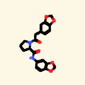 O=C(Nc1ccc2c(c1)OCO2)C1CCCN1C(=O)Cc1ccc2c(c1)OCO2